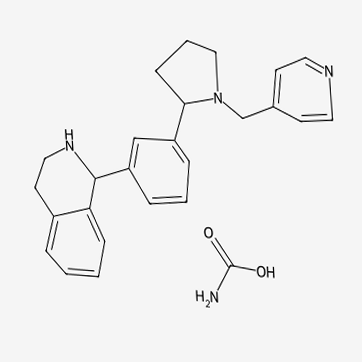 NC(=O)O.c1cc(C2NCCc3ccccc32)cc(C2CCCN2Cc2ccncc2)c1